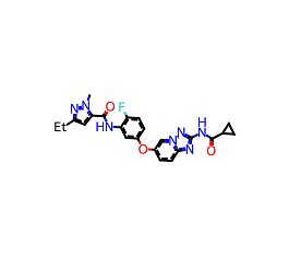 CCc1cc(C(=O)Nc2cc(Oc3ccc4nc(NC(=O)C5CC5)nn4c3)ccc2F)n(C)n1